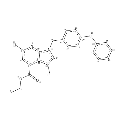 CCOC(=O)c1cc(Cl)nc2c1c(C)nn2Cc1ccc(Oc2ccccc2)cc1